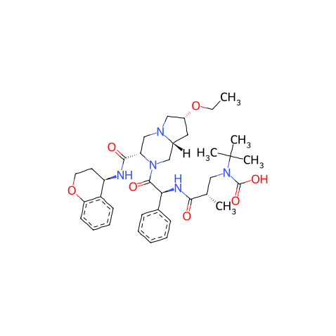 CCO[C@@H]1C[C@@H]2CN(C(=O)[C@@H](NC(=O)[C@@H](C)CN(C(=O)O)C(C)(C)C)c3ccccc3)[C@H](C(=O)N[C@@H]3CCOc4ccccc43)CN2C1